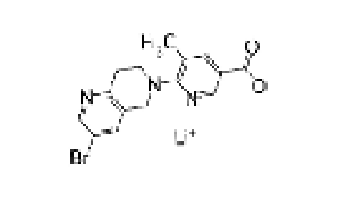 Cc1cc(C(=O)[O-])cnc1N1CCc2ncc(Br)cc2C1.[Li+]